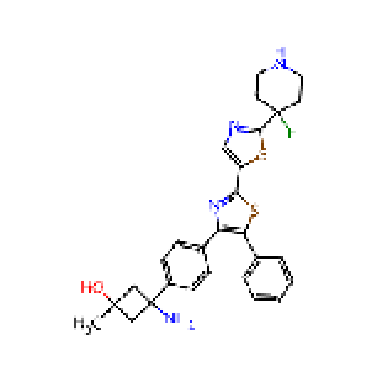 CC1(O)CC(N)(c2ccc(-c3nc(-c4cnc(C5(F)CCNCC5)s4)sc3-c3ccccc3)cc2)C1